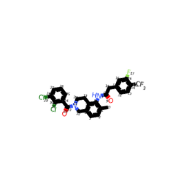 Cc1ccc2c(c1NC(=O)Cc1ccc(C(F)(F)F)c(F)c1)CCN(C(=O)c1cccc(Cl)c1Cl)C2